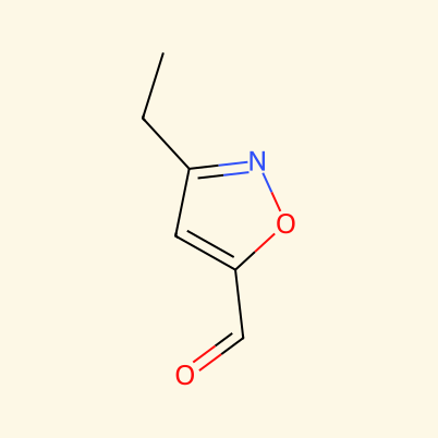 CCc1cc(C=O)on1